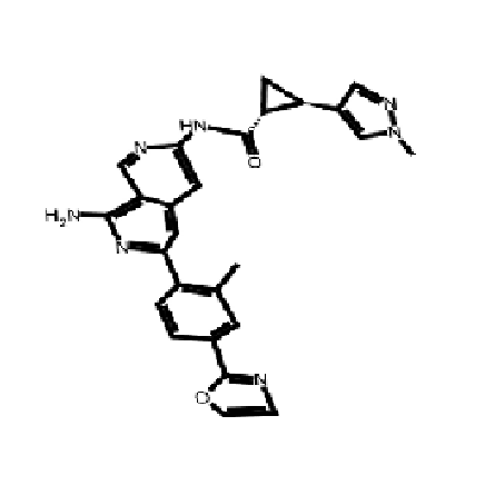 Cc1cc(-c2ncco2)ccc1-c1cc2cc(NC(=O)[C@@H]3C[C@H]3c3cnn(C)c3)ncc2c(N)n1